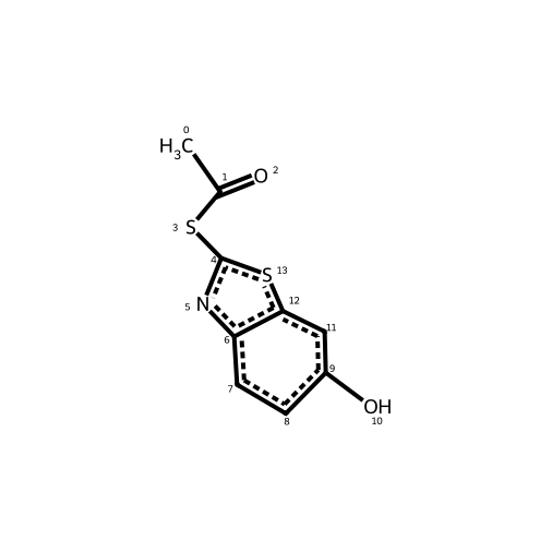 CC(=O)Sc1nc2ccc(O)cc2s1